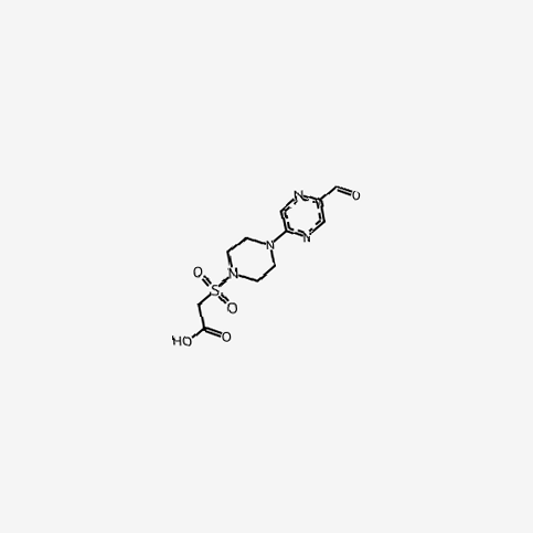 O=Cc1cnc(N2CCN(S(=O)(=O)CC(=O)O)CC2)cn1